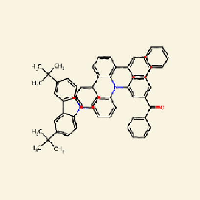 CC(C)(C)c1ccc2c(c1)c1cc(C(C)(C)C)ccc1n2-c1cccc(N(c2cc(C(=O)c3ccccc3)cc(-c3ccccc3)c2)c2c(-c3ccccc3)cccc2-c2ccccc2)c1